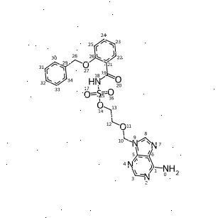 Nc1ncnc2c1ncn2COCCOS(=O)(=O)NC(=O)c1ccccc1OCc1ccccc1